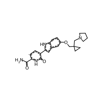 NC(=O)c1[c]cc(-c2cc3cc(OCC4(CN5CCCC5)CC4)ccc3[nH]2)c(=O)[nH]1